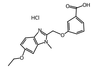 CCOc1ccc2nc(COc3cccc(C(=O)O)c3)n(C)c2c1.Cl